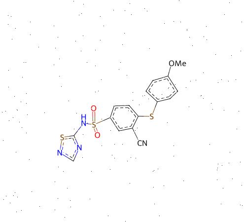 COc1ccc(Sc2ccc(S(=O)(=O)Nc3ncns3)cc2C#N)cc1